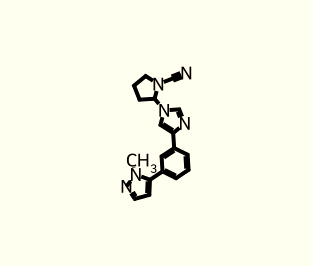 Cn1nccc1-c1cccc(-c2cn(C3CCCN3C#N)cn2)c1